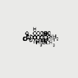 CCCCCCc1cc(CN2C(=O)c3ccccc3C2=O)c(O)c2c1C[C@H]1C[C@H]3[C@H](N(C)C)C(O)=C(C(N)=O)C(=O)[C@@]3(O)C(O)=C1C2=O